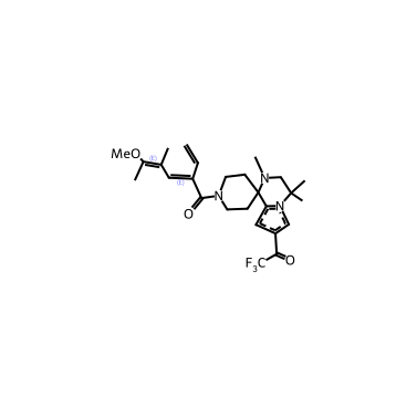 C=C/C(=C\C(C)=C(/C)OC)C(=O)N1CCC2(CC1)c1cc(C(=O)C(F)(F)F)cn1C(C)(C)CN2C